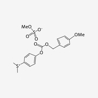 COS(=O)(=O)[O-].COc1ccc(COC(=O)Oc2ccc([S+](C)C)cc2)cc1